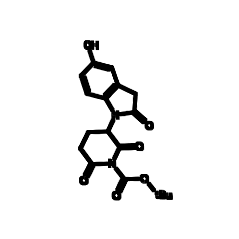 CC(C)(C)OC(=O)N1C(=O)CCC(N2C(=O)Cc3cc(O)ccc32)C1=O